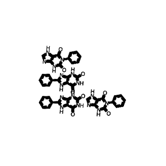 O=c1[nH]c(=O)c2[nH]c(-c3ccccc3)nc2[nH]1.O=c1[nH]c(=O)c2[nH]c(-c3ccccc3)nc2[nH]1.O=c1[nH]c2nc[nH]c2c(=O)n1-c1ccccc1.O=c1[nH]c2nc[nH]c2c(=O)n1-c1ccccc1